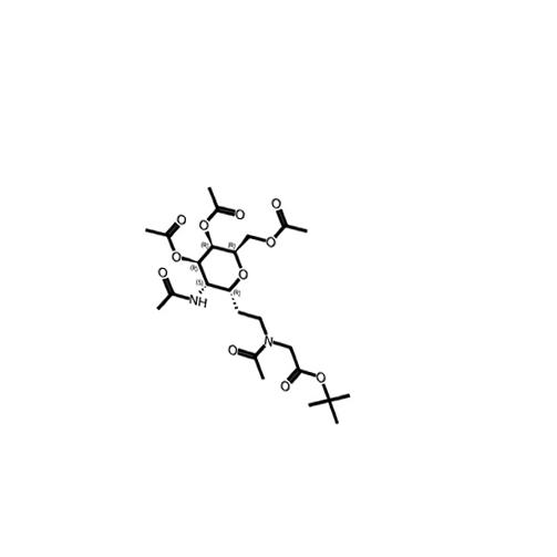 CC(=O)N[C@@H]1[C@@H](OC(C)=O)[C@@H](OC(C)=O)[C@@H](COC(C)=O)O[C@@H]1CCN(CC(=O)OC(C)(C)C)C(C)=O